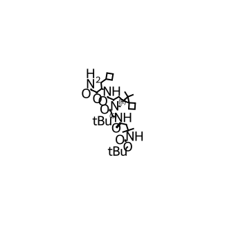 CC(C)(CC(=O)N[C@H](C(=O)N1C[C@]2(CC1C(=O)NC(CC1CCC1)C(=O)C(N)=O)C(C)(C)C21CCC1)C(C)(C)C)NC(=O)OC(C)(C)C